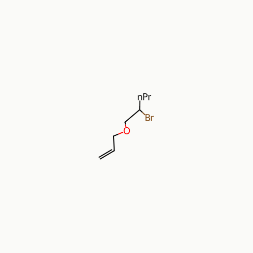 C=CCOCC(Br)CCC